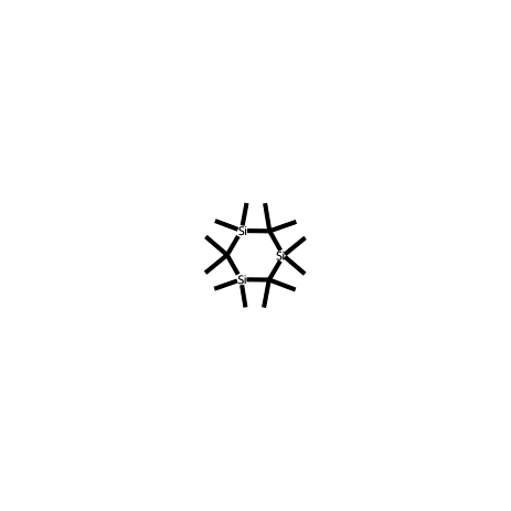 CC1(C)[Si](C)(C)C(C)(C)[Si](C)(C)C(C)(C)[Si]1(C)C